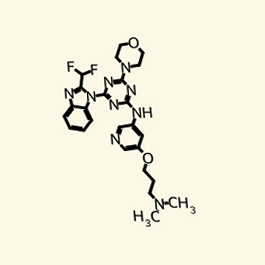 CN(C)CCCOc1cncc(Nc2nc(N3CCOCC3)nc(-n3c(C(F)F)nc4ccccc43)n2)c1